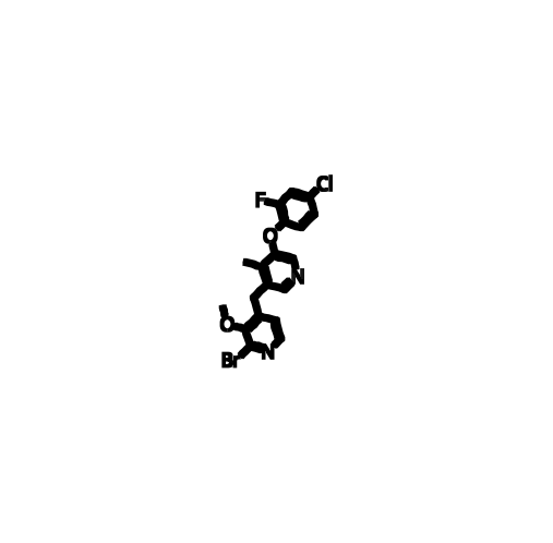 COc1c(Cc2cncc(Oc3ccc(Cl)cc3F)c2C)ccnc1Br